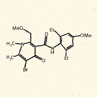 CCc1cc(OC)cc(CC)c1NC(=O)c1c(COC)n(C)c(C)c(Br)c1=O